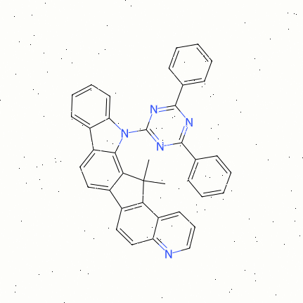 CC1(C)c2c(ccc3ncccc23)-c2ccc3c4ccccc4n(-c4nc(-c5ccccc5)nc(-c5ccccc5)n4)c3c21